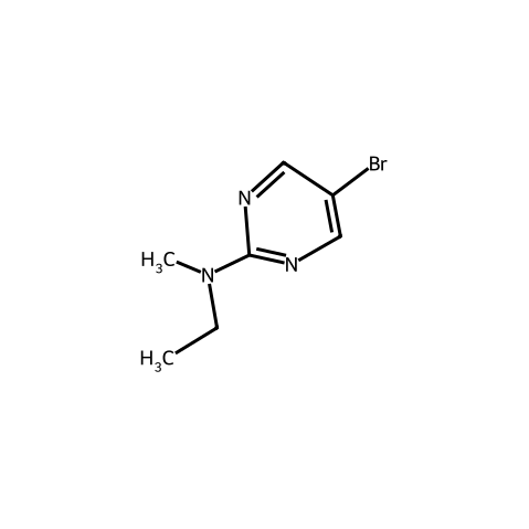 CCN(C)c1ncc(Br)cn1